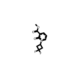 COC(=O)c1cccn(C2CC(F)(F)C2)c1=O